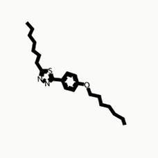 CCCCCCCOc1ccc(-c2nnc(CCCCCCC)s2)cc1